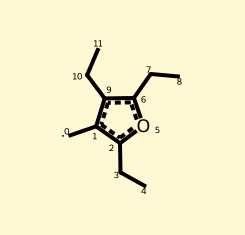 [CH2]c1c(CC)oc(CC)c1CC